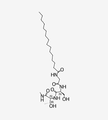 CCCCCCCCCCCCCCCC(=O)NCC(=O)N[C@@H](CO)C(=O)N[C@H](C(=O)NC)[C@@H](C)O